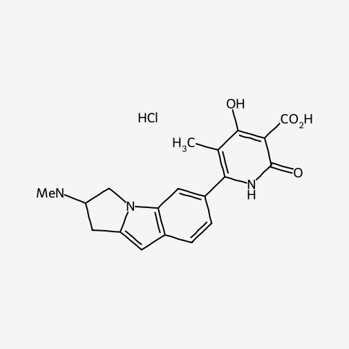 CNC1Cc2cc3ccc(-c4[nH]c(=O)c(C(=O)O)c(O)c4C)cc3n2C1.Cl